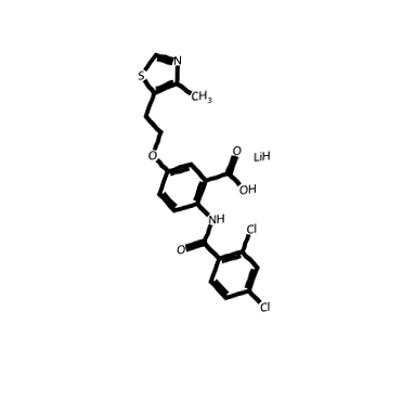 Cc1ncsc1CCOc1ccc(NC(=O)c2ccc(Cl)cc2Cl)c(C(=O)O)c1.[LiH]